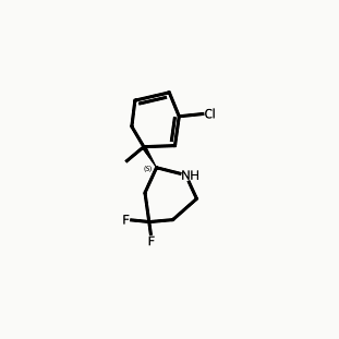 CC1([C@@H]2CC(F)(F)CCN2)C=C(Cl)C=CC1